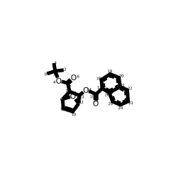 CC(C)(C)OC(=O)C1C2C=CC(O2)C1OC(=O)c1cccc2ccccc12